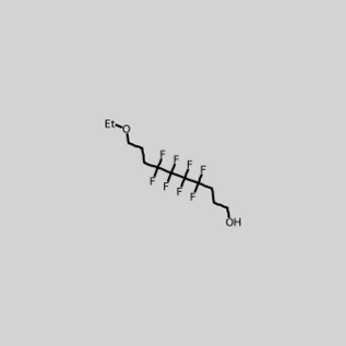 CCOCCCC(F)(F)C(F)(F)C(F)(F)C(F)(F)CCCO